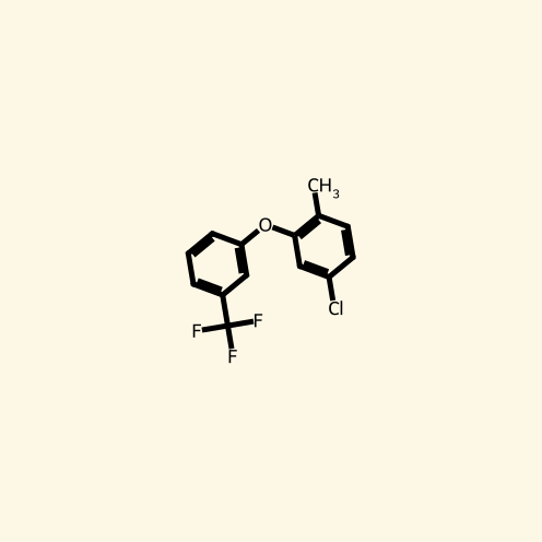 Cc1ccc(Cl)cc1Oc1cccc(C(F)(F)F)c1